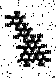 CCCO[C@@H]1OC(C)[C@H](O)[C@H](O[C@H]2O[C@@H](CO)[C@@H](O)C(O)C2O)C1O[C@@H]1OC(CO)[C@@H](O)[C@H](O[C@@H]2OC(C)[C@H](O)[C@H](O[C@@H]3OC(C)[C@H](O)[C@H](O)C3O)C2O)C1NC(C)=O